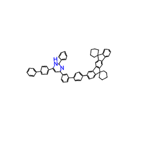 C1=C(c2ccc(-c3ccccc3)cc2)NC(c2ccccc2)N=C1c1cccc(-c2ccc(-c3ccc4c(c3)-c3cc5c(cc3C43CCCCC3)-c3ccccc3C53CCCCC3)cc2)c1